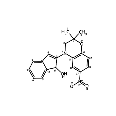 CC1(C)CN(C2=Cc3ccccc3C2O)c2cc([N+](=O)[O-])ccc2O1